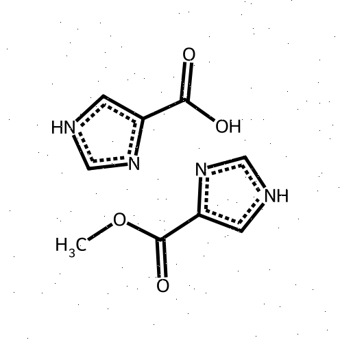 COC(=O)c1c[nH]cn1.O=C(O)c1c[nH]cn1